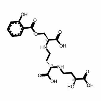 O=C(OC[C@H](NCC[C@H](NCC[C@H](O)C(=O)O)C(=O)O)C(=O)O)c1ccccc1O